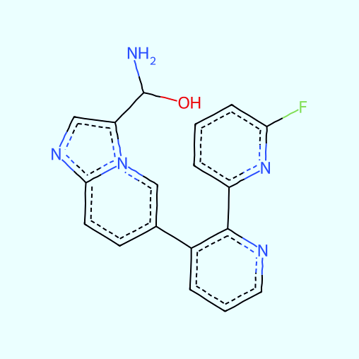 NC(O)c1cnc2ccc(-c3cccnc3-c3cccc(F)n3)cn12